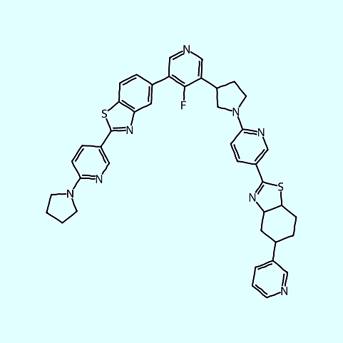 Fc1c(-c2ccc3sc(-c4ccc(N5CCCC5)nc4)nc3c2)cncc1C1CCN(c2ccc(C3=NC4CC(c5cccnc5)CCC4S3)cn2)C1